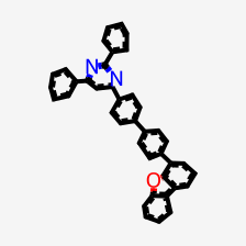 c1ccc(-c2cc(-c3ccc(-c4ccc(-c5cccc6c5oc5ccccc56)cc4)cc3)nc(-c3ccccc3)n2)cc1